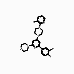 Fc1ccc(-c2cc(N3CCN(c4ncccc4F)CC3)cc(N3CCOCC3)n2)cc1Cl